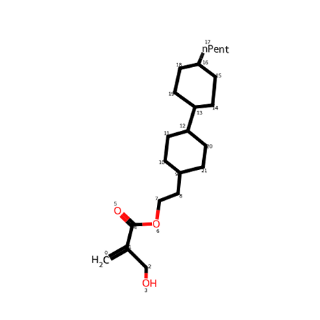 C=C(CO)C(=O)OCCC1CCC(C2CCC(CCCCC)CC2)CC1